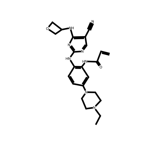 C=CC(=O)Nc1cc(N2CCN(CC)CC2)ccc1Nc1ncc(C#N)c(NC2COC2)n1